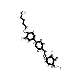 CCCCCOc1ccc(-c2ccc(COc3ccc(C)c(F)c3F)cc2)cc1F